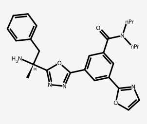 CCCN(CCC)C(=O)c1cc(-c2ncco2)cc(-c2nnc([C@](C)(N)Cc3ccccc3)o2)c1